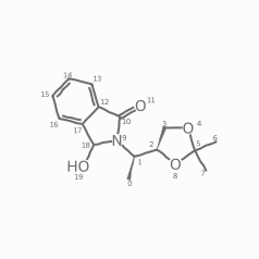 C[C@H]([C@H]1COC(C)(C)O1)N1C(=O)c2ccccc2C1O